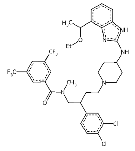 CCOC(C)c1cccc2[nH]c(NC3CCN(CCC(CN(C)C(=O)c4cc(C(F)(F)F)cc(C(F)(F)F)c4)c4ccc(Cl)c(Cl)c4)CC3)nc12